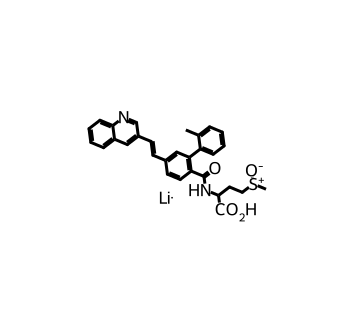 Cc1ccccc1-c1cc(C=Cc2cnc3ccccc3c2)ccc1C(=O)NC(CC[S+](C)[O-])C(=O)O.[Li]